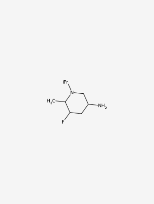 CC(C)N1CC(N)CC(F)C1C